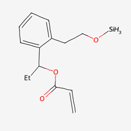 C=CC(=O)OC(CC)c1ccccc1CCO[SiH3]